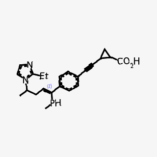 CCc1nccn1C(C)C/C=C(\PC)c1ccc(C#CC2CC2C(=O)O)cc1